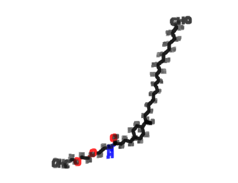 C=C(CCCCCCCCCCCCCCCCCCC=O)C1CCC(CCCC(=O)NCCOCCOCC=O)CC1